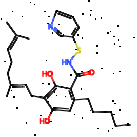 CCCCCc1cc(O)c(C/C=C(\C)CCC=C(C)C)c(O)c1C(=O)NSc1cccnc1